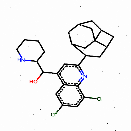 OC(c1cc(C2CC3CC4CC5CC2CC43C5)nc2c(Cl)cc(Cl)cc12)C1CCCCN1